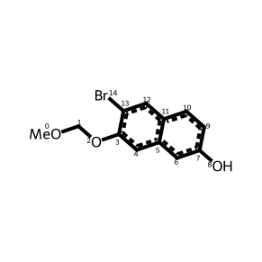 COCOc1cc2cc(O)ccc2cc1Br